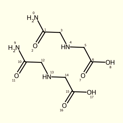 NC(=O)CNCC(=O)O.NC(=O)CNCC(=O)O